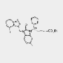 CCOC(=O)CCC[C@@H](c1ccccc1)n1c(=O)n(Cc2csc3cccc(C)c23)c2ccc(C)cc21